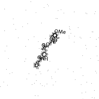 COc1cc(C)c(S(=O)(=O)N(C)CCOCC(=O)N(C)C[C@H]2CC[C@H](NC(=O)CCN3CCCC3)CC2)c(C)c1